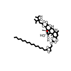 CCCCCCCCCCCCCCCC1OCC(COC(=O)O[C@@H]2C(=O)C=C(C)[C@@H]3C[C@H]4OC(=O)C(OC(=O)CC(O)(C(C)C)C(C)C)C5[C@@H](C)[C@@H](O)[C@@]6(O)OC[C@@]54C6[C@@]23C)O1